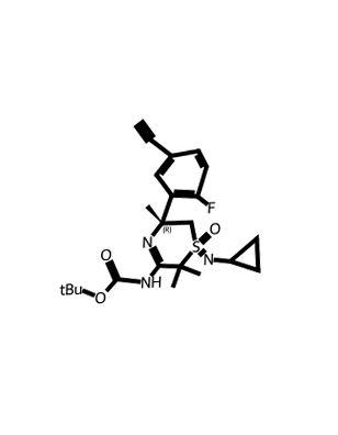 C#Cc1ccc(F)c([C@]2(C)CS(=O)(=NC3CC3)C(C)(C)C(NC(=O)OC(C)(C)C)=N2)c1